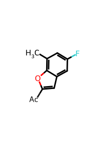 CC(=O)c1cc2cc(F)cc(C)c2o1